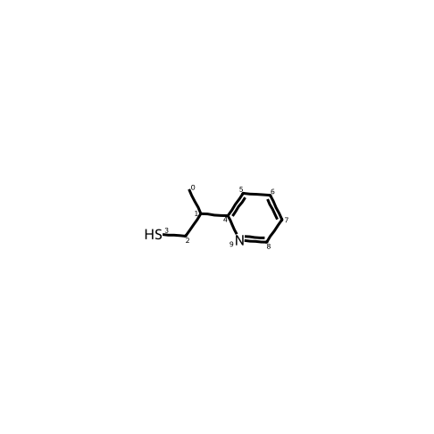 CC(CS)c1ccccn1